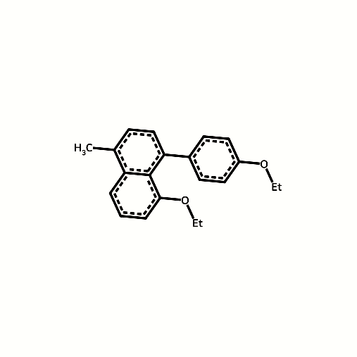 CCOc1ccc(-c2ccc(C)c3cccc(OCC)c23)cc1